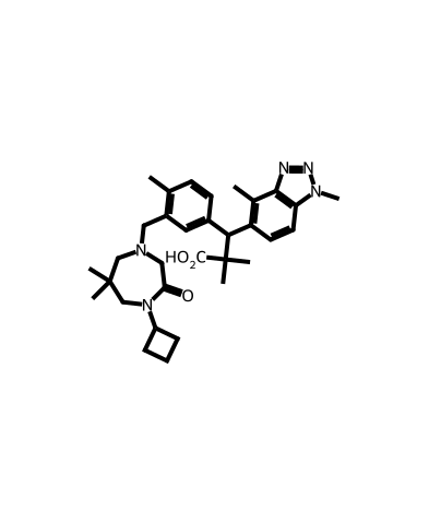 Cc1ccc(C(c2ccc3c(nnn3C)c2C)C(C)(C)C(=O)O)cc1CN1CC(=O)N(C2CCC2)CC(C)(C)C1